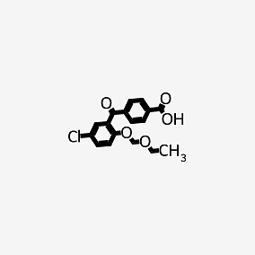 CCOCOc1ccc(Cl)cc1C(=O)c1ccc(C(=O)O)cc1